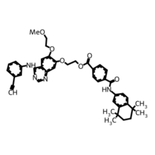 C#Cc1cccc(Nc2ncnc3cc(OCCOC(=O)c4ccc(C(=O)Nc5ccc6c(c5)C(C)(C)CCC6(C)C)cc4)c(OCCOC)cc23)c1